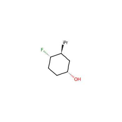 CC(C)[C@H]1C[C@H](O)CC[C@@H]1F